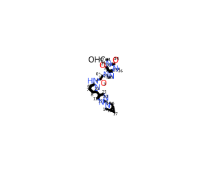 C[C@@H](C(=O)Nc1cccc(-c2cnc(N3CC4CC4C3)nc2)n1)n1cnc2c1c(=O)n(CC=O)c(=O)n2C